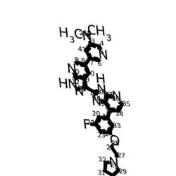 CN(C)c1cncc(-c2cnc3[nH]nc(-c4nc5c(-c6cc(F)cc(OCCN7CCCC7)c6)ccnc5[nH]4)c3c2)c1